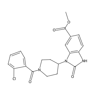 COC(=O)c1ccc2[nH]c(=O)n(C3CCN(C(=O)c4ccccc4Cl)CC3)c2c1